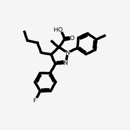 CCCCC1C(c2ccc(F)cc2)=NN(c2ccc(C)cc2)C1(C)C(=O)O